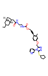 CCC1C[C@H]2CCC(CC(=O)NCCNC(=O)OCC#Cc3ccc(OCc4nnc(SC5CCCC5)n4-c4cccnc4)cc3C)[C@@H](C1)C2